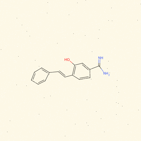 N=C(N)c1ccc(/C=C/c2ccccc2)c(O)c1